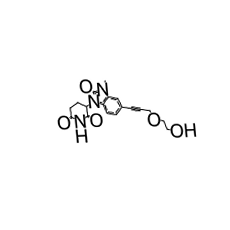 Cn1c(=O)n(C2CCC(=O)NC2=O)c2ccc(C#CCOCCO)cc21